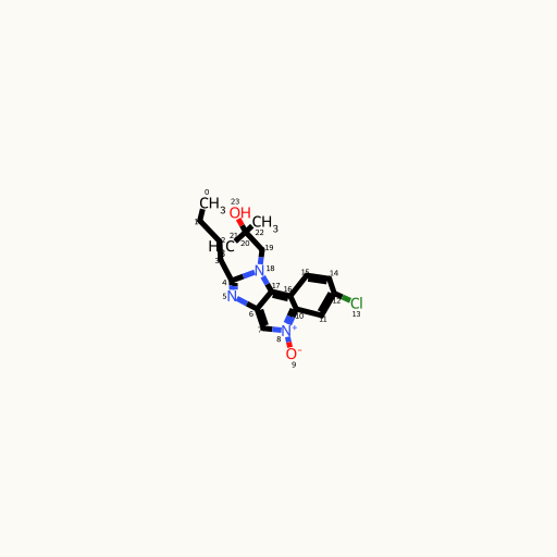 CCCCc1nc2c[n+]([O-])c3cc(Cl)ccc3c2n1CC(C)(C)O